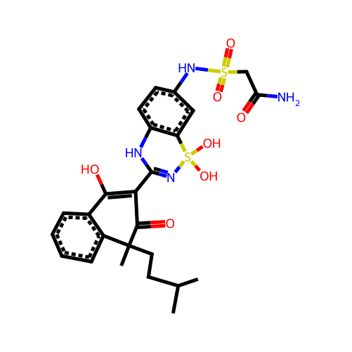 CC(C)CCC1(C)C(=O)C(C2=NS(O)(O)c3cc(NS(=O)(=O)CC(N)=O)ccc3N2)=C(O)c2ccccc21